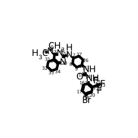 CN(C)c1nc(NC2CCC(NC(=O)Nc3ccc(Br)cc3C(F)(F)F)CC2)nc2c1CCCC2